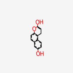 OC1=CCc2c(ccc3cc(O)ccc23)O1